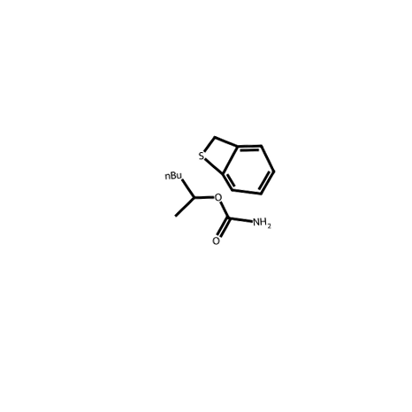 CCCCC(C)OC(N)=O.c1ccc2c(c1)CS2